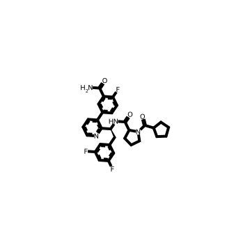 NC(=O)c1cc(-c2cccnc2[C@H](Cc2cc(F)cc(F)c2)NC(=O)C2CCCN2C(=O)C2CCCC2)ccc1F